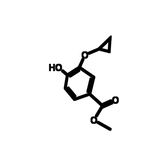 COC(=O)c1ccc(O)c(OC2CC2)c1